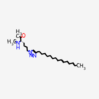 CCCCCCCCCCCCCCCc1cn(CCCC[C@H](NC)C(C)=O)nn1